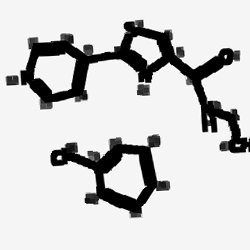 CCNC(=O)c1csc(-c2ccncc2)n1.Clc1ccccc1